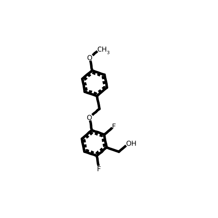 COc1ccc(COc2ccc(F)c(CO)c2F)cc1